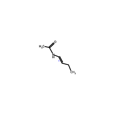 CC/C=C/NC(C)=O